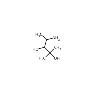 CC(N)C(O)C(C)(C)O